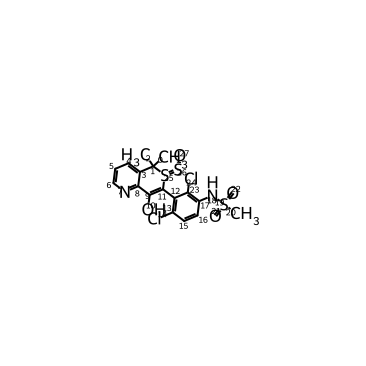 CC1(C)c2cccnc2C(O)=C(c2c(Cl)ccc(NS(C)(=O)=O)c2Cl)S1=S=O